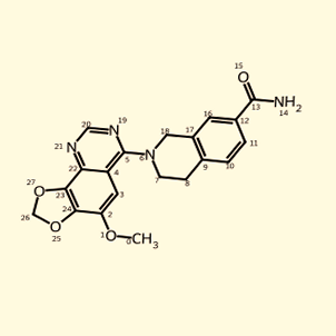 COc1cc2c(N3CCc4ccc(C(N)=O)cc4C3)ncnc2c2c1OCO2